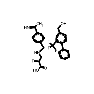 CC(=N)c1ccc(CNCC(F)C(=O)O)cc1.OCc1ccc(-c2ccccc2)c(C(F)(F)F)c1